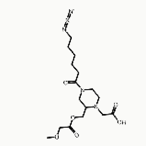 COCC(=O)OCC1CN(C(=O)CCCCCN=[N+]=[N-])CCN1CC(=O)O